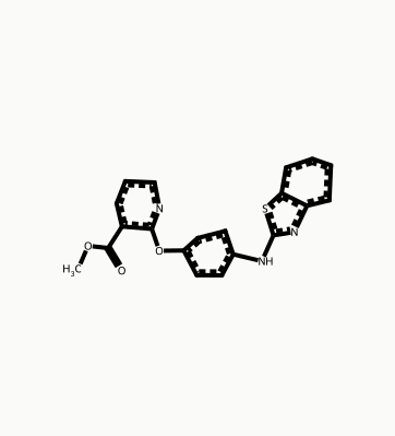 COC(=O)c1cccnc1Oc1ccc(Nc2nc3ccccc3s2)cc1